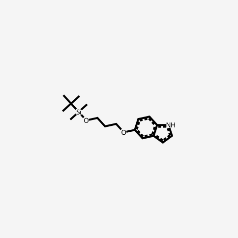 CC(C)(C)[Si](C)(C)OCCCOc1ccc2[nH]ccc2c1